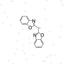 [C](c1nc2ccccc2o1)c1nc2ccccc2o1